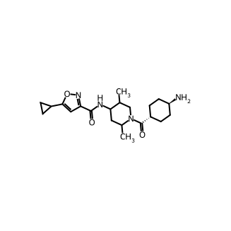 CC1CN(C(=O)[C@H]2CC[C@H](N)CC2)C(C)CC1NC(=O)c1cc(C2CC2)on1